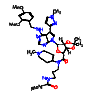 CNC(=O)NCCCN(C(=O)[C@H]1O[C@@H](n2cc(-c3ccn(C)n3)c3c(NCc4ccc(OC)cc4OC)ncnc32)[C@@H]2OC(C)(C)O[C@@H]21)C1CCN(C)CC1